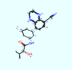 CC(C)[C@H](O)C(=O)N[C@@H]1C[C@H](C)C[C@H](c2ccc(C#N)c3nccnc23)C1